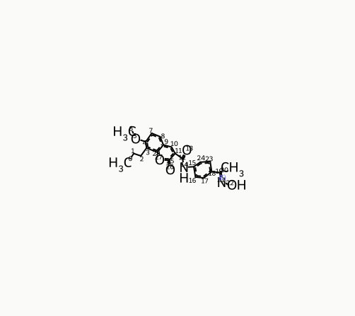 CCCc1c(OC)ccc2cc(C(=O)Nc3ccc(/C(C)=N/O)cc3)c(=O)oc12